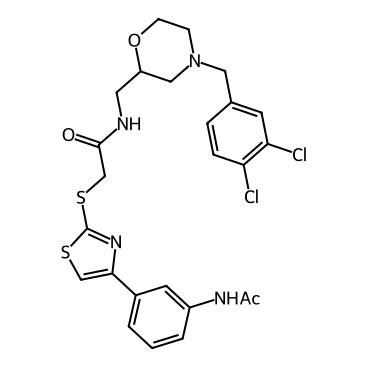 CC(=O)Nc1cccc(-c2csc(SCC(=O)NCC3CN(Cc4ccc(Cl)c(Cl)c4)CCO3)n2)c1